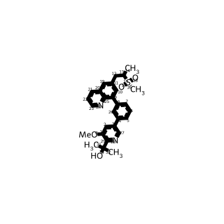 COc1cc(-c2cccc(-c3cc(CC(C)S(C)(=O)=O)cc4cccnc34)c2)cnc1C(C)(C)O